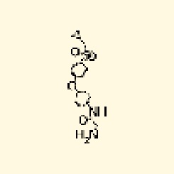 NCC(=O)Nc1ccc(Oc2ccc(S(=O)(=O)CC3CC3)cc2)cc1